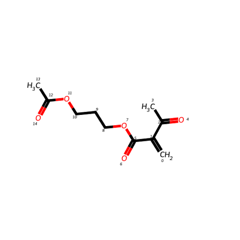 C=C(C(C)=O)C(=O)OCCCOC(C)=O